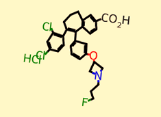 Cl.O=C(O)c1ccc2c(c1)CCCC(c1ccc(Cl)cc1Cl)=C2c1cccc(OC2CN(CCCF)C2)c1